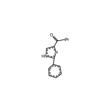 CC(C)C(=O)c1c[nH]c(-c2ccccc2)n1